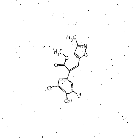 COC(=O)C(=Cc1cc(C)no1)c1cc(Cl)c(O)c(Cl)c1